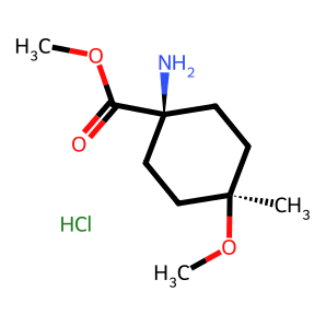 COC(=O)[C@]1(N)CC[C@@](C)(OC)CC1.Cl